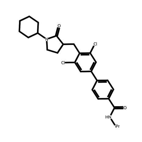 CC(C)NC(=O)c1ccc(-c2cc(Cl)c(CC3CCN(C4CCCCC4)C3=O)c(Cl)c2)cc1